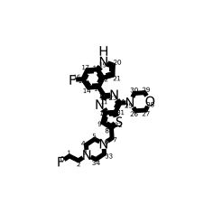 FCCN1CCN(Cc2cc3nc(-c4cc(F)cc5[nH]ccc45)nc(N4CCOCC4)c3s2)CC1